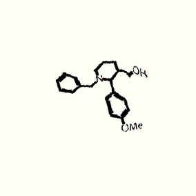 COc1ccc(C2C(CO)CCCN2Cc2ccccc2)cc1